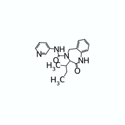 CCC(C)C1C(=O)Nc2ccccc2CN1C(=O)Nc1cccnc1